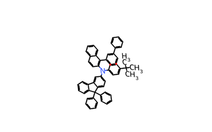 CC(C)(C)c1ccc(N(c2ccc3c(c2)-c2ccccc2C3(c2ccccc2)c2ccccc2)c2ccc3ccccc3c2-c2cccc(-c3ccccc3)c2)cc1